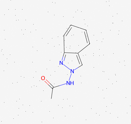 CC(=O)Nn1cc2ccccc2n1